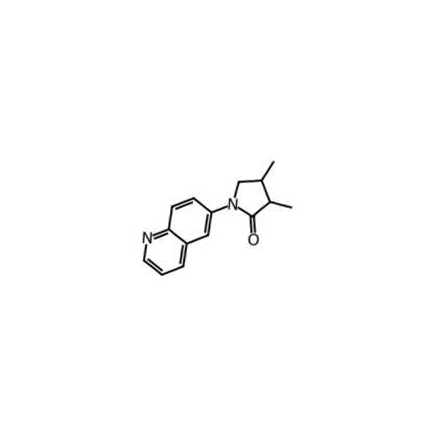 CC1CN(c2ccc3ncccc3c2)C(=O)C1C